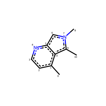 Cc1ccnc2cn(C)c(C)c12